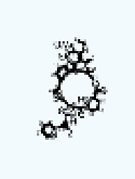 C=C/C(=C(\N=C/C)[C@H](C)OC)c1c2c3cc(ccc3n1CC)-c1csc(n1)C[C@H](NC(=O)[C@@H]1[C@@H](C)[C@H]1c1ccccn1)C(=O)N1CCC[C@H](N1)C(=O)OCC(C)(C)C2